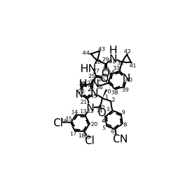 C[C@@]1(Cc2ccc(C#N)cc2)C(=O)N(c2cc(Cl)cc(Cl)c2)c2ncc(C(=O)NC3(C(=O)NC4(c5cc(CN)ccn5)CC4)CC3)n21